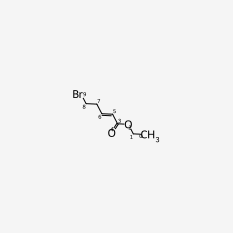 CCOC(=O)C=CCCBr